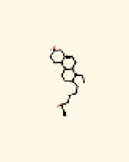 C#C[C@](C)(O)CC[C@@H](C)[C@H]1CC[C@H]2[C@@H]3CC=C4C[C@@](C)(O)CC[C@]4(C)[C@H]3CC[C@]12C